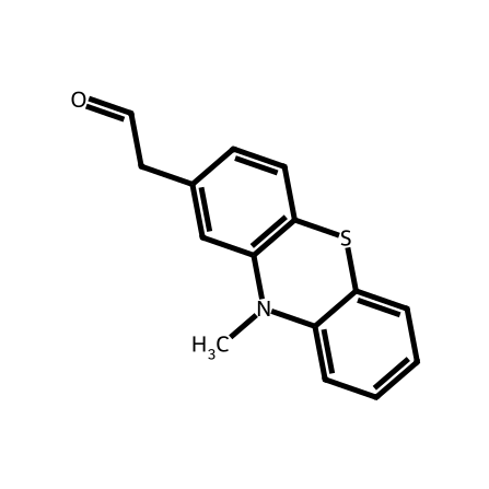 CN1c2ccccc2Sc2ccc(CC=O)cc21